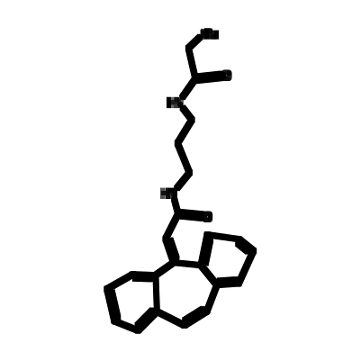 CC(C)(C)CC(=O)NCCCNC(=O)C=C1c2ccccc2C=Cc2ccccc21